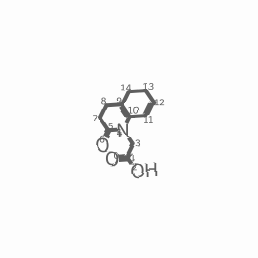 O=C(O)CN1C(=O)CCC2=C1C=CCC2